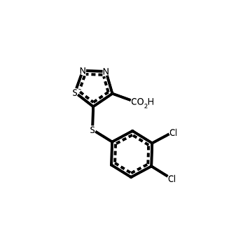 O=C(O)c1nnsc1Sc1ccc(Cl)c(Cl)c1